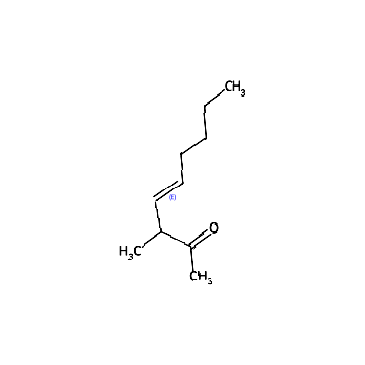 CCCC/C=C/C(C)C(C)=O